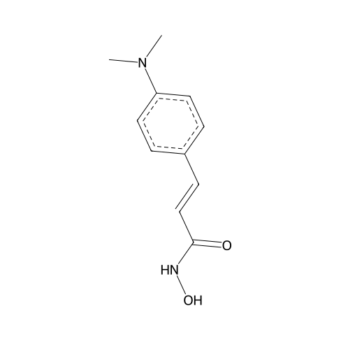 CN(C)c1ccc(/C=C/C(=O)NO)cc1